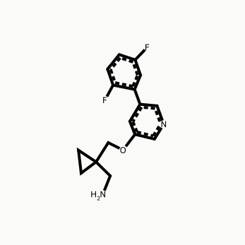 NCC1(COc2cncc(-c3cc(F)ccc3F)c2)CC1